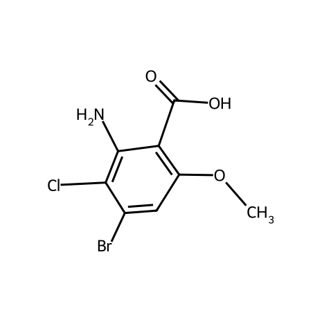 COc1cc(Br)c(Cl)c(N)c1C(=O)O